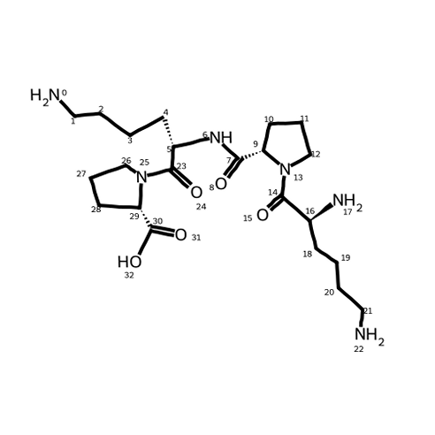 NCCCC[C@H](NC(=O)[C@@H]1CCCN1C(=O)[C@@H](N)CCCCN)C(=O)N1CCC[C@H]1C(=O)O